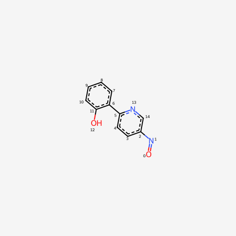 O=Nc1ccc(-c2ccccc2O)nc1